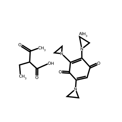 CCC(C(C)=O)C(=O)O.O=C1C=C(N2CC2)C(=O)C(N2CC2)=C1N1CC1.[AlH3]